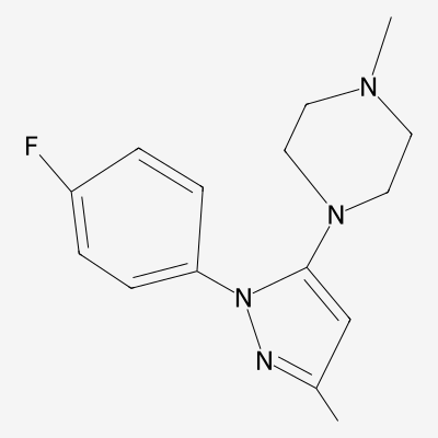 Cc1cc(N2CCN(C)CC2)n(-c2ccc(F)cc2)n1